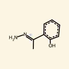 C/C(=N\N)c1ccccc1O